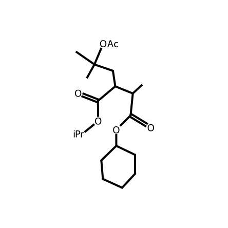 CC(=O)OC(C)(C)CC(C(=O)OC(C)C)C(C)C(=O)OC1CCCCC1